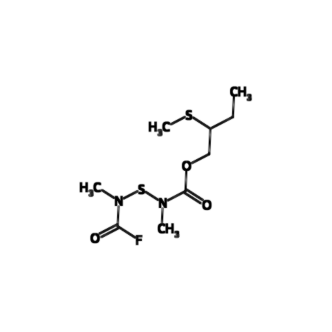 CCC(COC(=O)N(C)SN(C)C(=O)F)SC